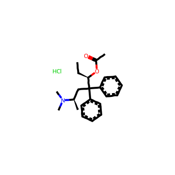 CC[C@@H](OC(C)=O)C(C[C@@H](C)N(C)C)(c1ccccc1)c1ccccc1.Cl